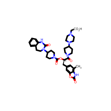 Cc1cc(C[C@@H](OC(=O)N2CCC(N3CCc4ccccc4NC3=O)CC2)C(=O)N2CCC(N3CCN(CC(=O)O)CC3)CC2)cc2oc(=O)[nH]c12